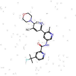 CCC(/C(C#N)=C\C(=C/N)c1cc(NC(=O)c2cc(C(C)(C)F)ccn2)cnc1C)N1CCOCC1